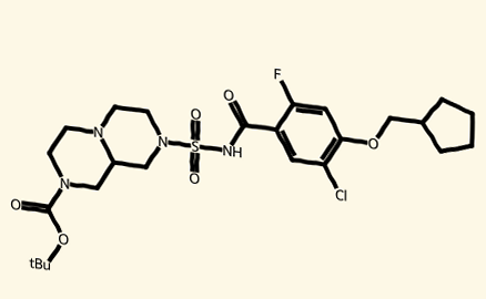 CC(C)(C)OC(=O)N1CCN2CCN(S(=O)(=O)NC(=O)c3cc(Cl)c(OCC4CCCC4)cc3F)CC2C1